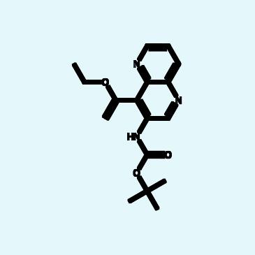 C=C(OCC)c1c(NC(=O)OC(C)(C)C)cnc2cccnc12